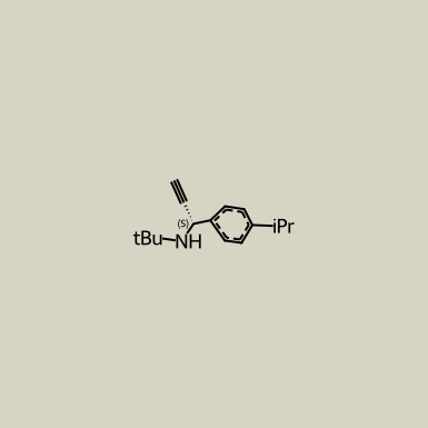 C#C[C@@H](NC(C)(C)C)c1ccc(C(C)C)cc1